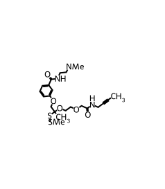 CC#CCNC(=O)COCCOC(C)(COc1cccc(C(=O)NCCNC)c1)SSC